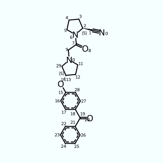 N#C[C@@H]1CCCN1C(=O)CN1CC[C@H](Oc2ccc(C(=O)c3ccccc3)cc2)C1